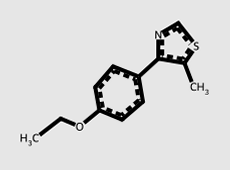 CCOc1ccc(-c2ncsc2C)cc1